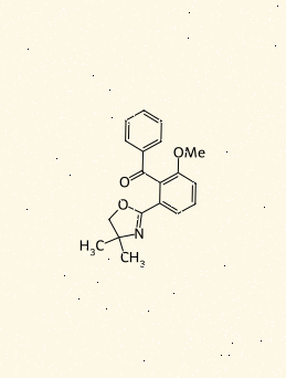 COc1cccc(C2=NC(C)(C)CO2)c1C(=O)c1ccccc1